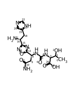 CC(O)[C@H](NC(=O)N[C@@H](CC(N)=O)c1nc([C@@H](N)Cc2cnc[nH]2)no1)C(=O)O